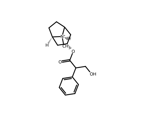 CC(C)[N@@+]1(C)C2CC[C@@H]1C[C@@H](OC(=O)C(CO)c1ccccc1)C2